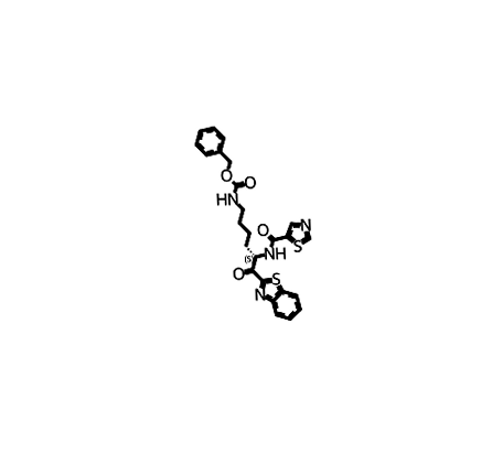 O=C(NCCCC[C@H](NC(=O)c1cncs1)C(=O)c1nc2ccccc2s1)OCc1ccccc1